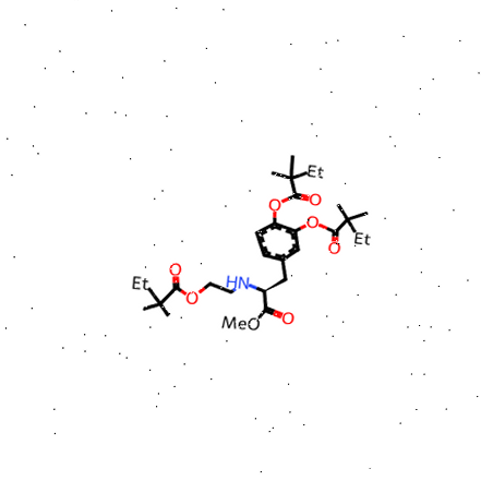 CCC(C)(C)C(=O)OCCN[C@@H](Cc1ccc(OC(=O)C(C)(C)CC)c(OC(=O)C(C)(C)CC)c1)C(=O)OC